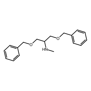 CNC(COCc1ccccc1)COCc1ccccc1